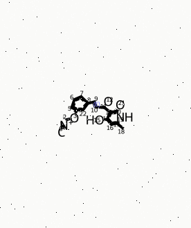 [C-]#[N+]COc1cccc(/C=C/C(=O)c2c(O)cc(C)[nH]c2=O)c1